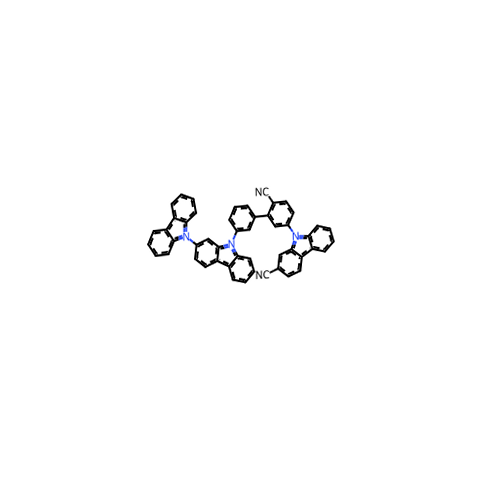 N#Cc1ccc2c3ccccc3n(-c3ccc(C#N)c(-c4cccc(-n5c6ccccc6c6ccc(-n7c8ccccc8c8ccccc87)cc65)c4)c3)c2c1